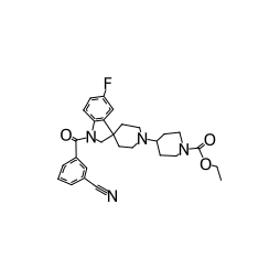 CCOC(=O)N1CCC(N2CCC3(CC2)CN(C(=O)c2cccc(C#N)c2)c2ccc(F)cc23)CC1